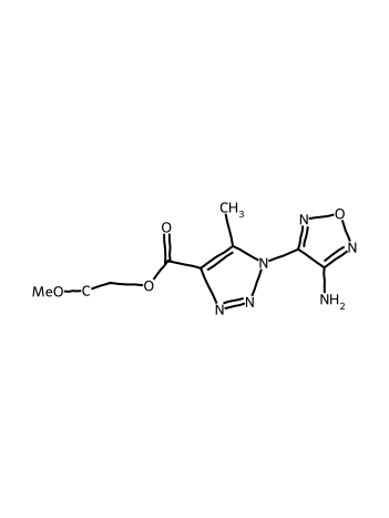 COCCOC(=O)c1nnn(-c2nonc2N)c1C